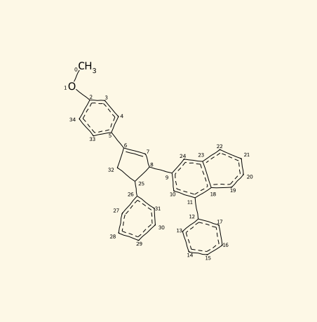 COc1ccc(C2=CC(c3cc(-c4ccccc4)c4ccccc4c3)C(c3ccccc3)C2)cc1